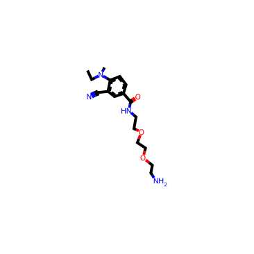 CCN(C)c1ccc(C(=O)NCCOCCOCCN)cc1C#N